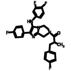 CC(Cc1ccc(F)cc1)C(=O)N1CCn2c(nc(-c3ccc(F)cc3)c2Nc2ccc(F)c(F)c2)C1